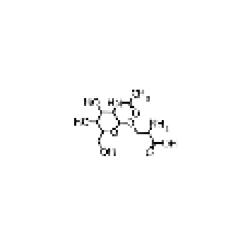 CC(=O)NC1C(OCC(N)C(=O)O)OC(CO)C(O)C1O